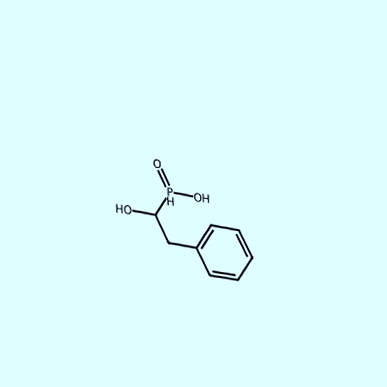 O=[PH](O)C(O)Cc1ccccc1